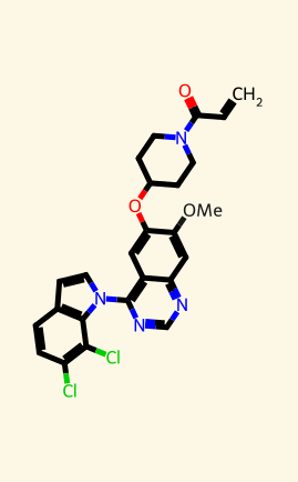 C=CC(=O)N1CCC(Oc2cc3c(-n4ccc5ccc(Cl)c(Cl)c54)ncnc3cc2OC)CC1